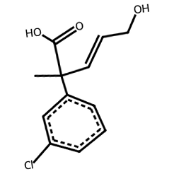 CC(/C=C/CO)(C(=O)O)c1cccc(Cl)c1